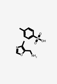 Cc1ccc(S(=O)(=O)O)cc1.Cc1ncoc1CN